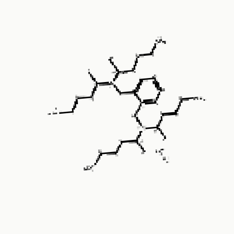 CCCCCCCCCCCCCC(C)N(Cc1ccccc1CN(C(C)CCCCCCCCCCCCC)C(C)CCCCCCCCCCCCC)C(C)CCCCCCCCCCCCC.Cl.Cl